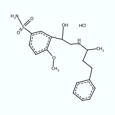 COc1ccc(S(N)(=O)=O)cc1C(O)CNC(C)CCc1ccccc1.Cl